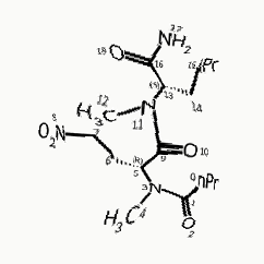 CCCC(=O)N(C)[C@H](CC[N+](=O)[O-])C(=O)N(C)[C@@H](CC(C)C)C(N)=O